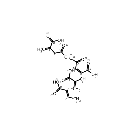 C=C(C)C(=O)O.C=C(CC(=O)O)C(=O)O.CC=CC(=O)O.O=C(O)/C=C\C(=O)O